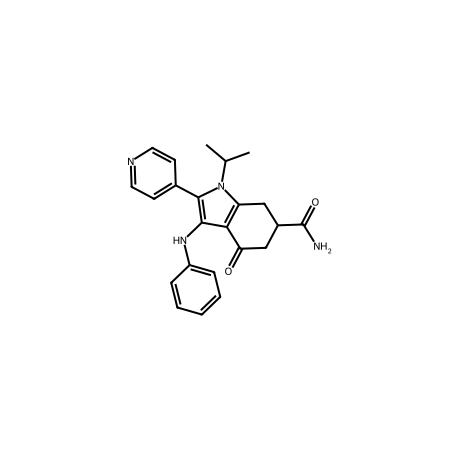 CC(C)n1c2c(c(Nc3ccccc3)c1-c1ccncc1)C(=O)CC(C(N)=O)C2